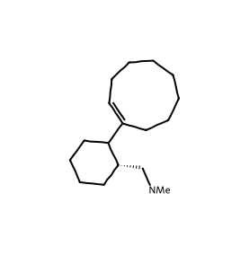 CNC[C@@H]1CCCCC1/C1=C/CCCCCCC1